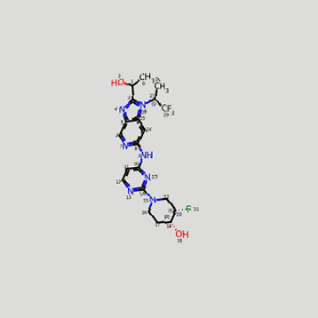 CC(O)c1nc2cnc(Nc3ccnc(N4CC[C@@H](O)[C@@H](F)C4)n3)cc2n1[C@@H](C)C(F)(F)F